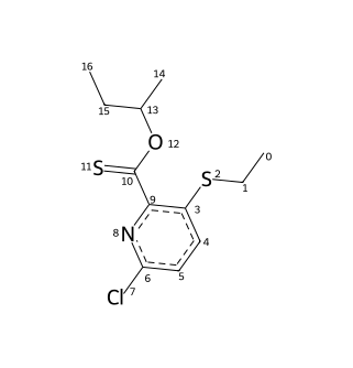 CCSc1ccc(Cl)nc1C(=S)OC(C)CC